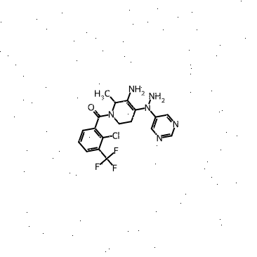 CC1C(N)=C(N(N)c2cncnc2)CCN1C(=O)c1cccc(C(F)(F)F)c1Cl